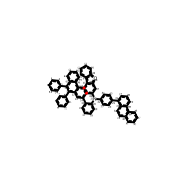 c1ccc(-c2c(-c3ccccc3)c3cc(-c4ccccc4N(c4ccc(-c5cccc6c5ccc5ccccc56)cc4)c4ccc5c(c4)oc4ccccc45)ccc3c3ccccc23)cc1